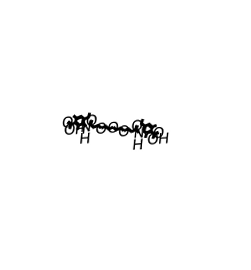 CCc1cc(C)c(C(=O)O)c(C)c1NC(=O)CCOCCOCCOCCC(=O)Nc1c(CC)cc(C)c(C(=O)O)c1C